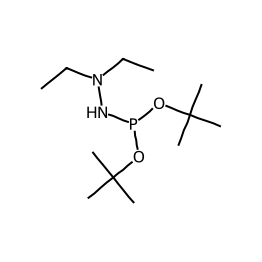 CCN(CC)NP(OC(C)(C)C)OC(C)(C)C